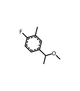 COC(C)c1ccc(F)c(C)c1